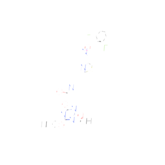 COc1nc(OC)nc(OCC(=O)N2CCC(c3nc(C4=NOC(c5c(F)cccc5F)C4)cs3)CC2)n1